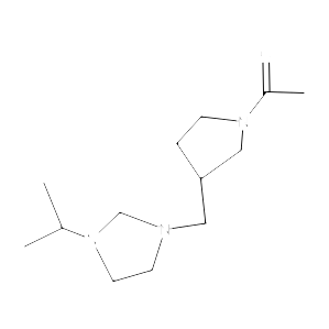 CC(=O)N1CCC(CN2CCN(C(C)C)C2)C1